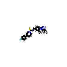 COc1cc(/C=C/C(=S)N2CCCC(c3ccc(F)cc3)CC2)ccc1-n1cnc(C)c1